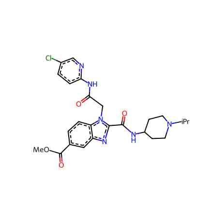 COC(=O)c1ccc2c(c1)nc(C(=O)NC1CCN(C(C)C)CC1)n2CC(=O)Nc1ccc(Cl)cn1